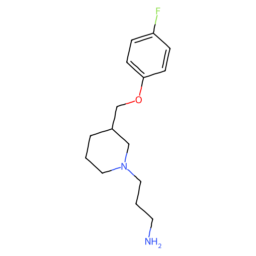 NCCCN1CCCC(COc2ccc(F)cc2)C1